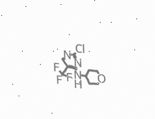 FC(F)(F)c1cnc(Cl)nc1NC1CCOCC1